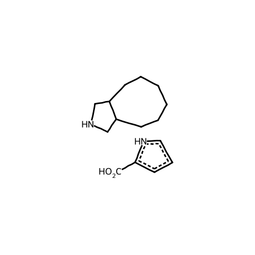 C1CCCC2CNCC2CC1.O=C(O)c1ccc[nH]1